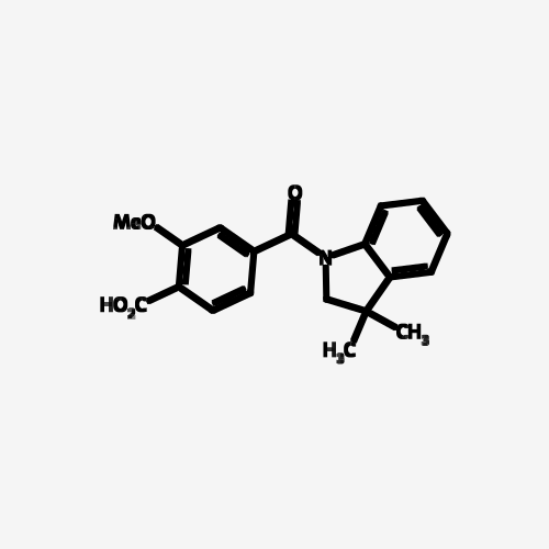 COc1cc(C(=O)N2CC(C)(C)c3ccccc32)ccc1C(=O)O